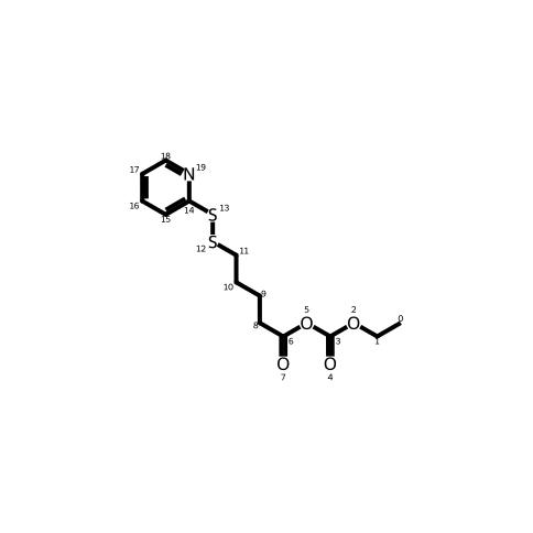 CCOC(=O)OC(=O)CCCCSSc1ccccn1